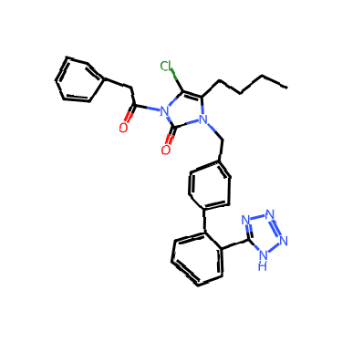 CCCCc1c(Cl)n(C(=O)Cc2ccccc2)c(=O)n1Cc1ccc(-c2ccccc2-c2nnn[nH]2)cc1